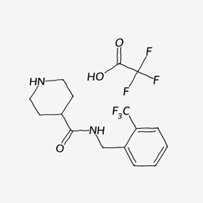 O=C(NCc1ccccc1C(F)(F)F)C1CCNCC1.O=C(O)C(F)(F)F